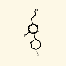 CN1CCN(c2ncc(CCO)cc2F)CC1